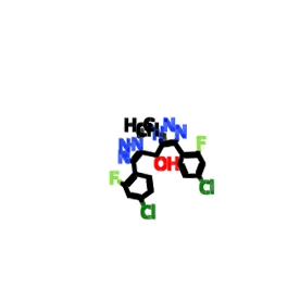 Cn1nnc(-c2ccc(Cl)cc2F)c1C(O)c1c(-c2ccc(Cl)cc2F)nnn1C